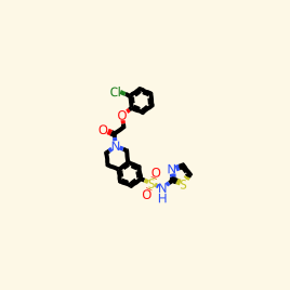 O=C(COc1ccccc1Cl)N1CCc2ccc(S(=O)(=O)Nc3nccs3)cc2C1